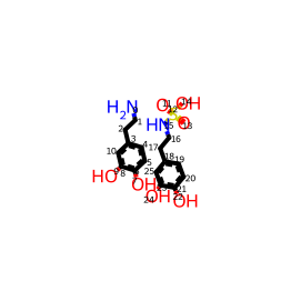 NCCc1ccc(O)c(O)c1.O=S(=O)(O)NCCc1ccc(O)c(O)c1